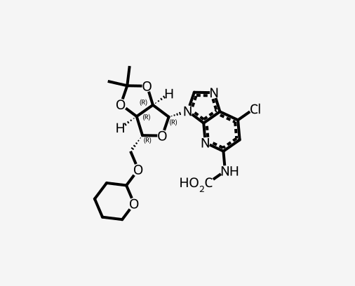 CC1(C)O[C@@H]2[C@H](O1)[C@@H](COC1CCCCO1)O[C@H]2n1cnc2c(Cl)cc(NC(=O)O)nc21